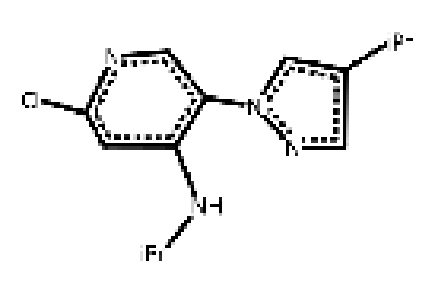 CC(C)Nc1cc(Cl)ncc1-n1cc(C(C)C)cn1